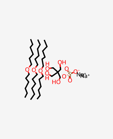 CCCCCCOCCCCCC.CCCCCCOCCCCCC.CCCCCCOCCCCCC.O=S(=O)([O-])[O-].OCC(CO)(CO)CO.[Na+].[Na+]